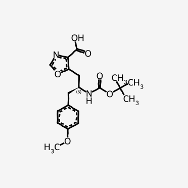 COc1ccc(C[C@@H](Cc2ocnc2C(=O)O)NC(=O)OC(C)(C)C)cc1